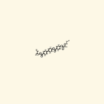 CCCOC(C)C(=O)Oc1ccc(C(=O)Oc2ccc(-c3ccc(C(=O)OCC(C)CC)cc3)cc2)cc1